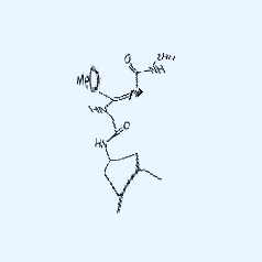 COC(=NC(=O)NC(C)(C)C)NC(=O)NC1CC(C)C(C)C1